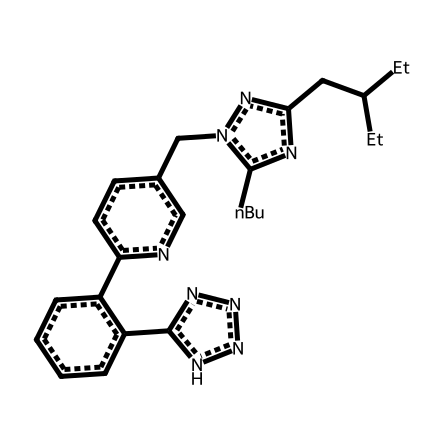 CCCCc1nc(CC(CC)CC)nn1Cc1ccc(-c2ccccc2-c2nnn[nH]2)nc1